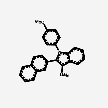 COc1ccc(-n2c(-c3ccc4ccccc4c3)c(OC)c3ccccc32)cc1